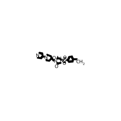 C=Cc1ccc(S(=O)(=O)N2CCN(CC3(OC(C)=O)CCN(c4ccncc4)CC3)C(=O)C2)cc1